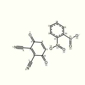 N#CC1=C(C#N)C(=O)C=CC1=O.O=[N+]([O-])c1ccccc1[N+](=O)[O-]